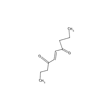 CCCC(=O)C=CC(=O)CCC